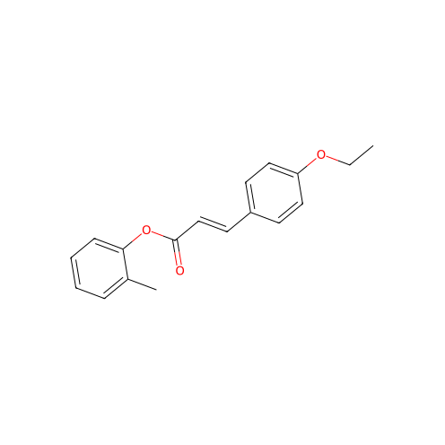 CCOc1ccc(/C=C/C(=O)Oc2ccccc2C)cc1